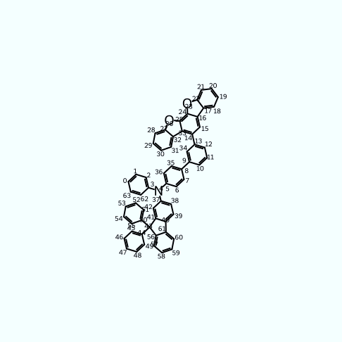 c1ccc(N(c2ccc(-c3cccc(-c4cc5c6ccccc6oc5c5oc6ccccc6c45)c3)cc2)c2ccc3c(c2)C(c2ccccc2)(c2ccccc2)c2ccccc2-3)cc1